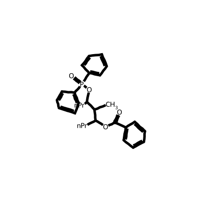 CCCC(OC(=O)c1ccccc1)C(C)C(CCC)OP(=O)(c1ccccc1)c1ccccc1